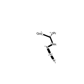 CCC[C@@H]([C]=O)NN=[N+]=[N-]